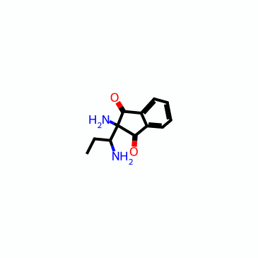 CCC(N)C1(N)C(=O)c2ccccc2C1=O